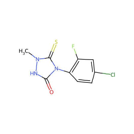 Cn1[nH]c(=O)n(-c2ccc(Cl)cc2F)c1=S